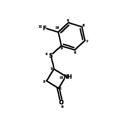 O=C1CC(Sc2ccccc2F)N1